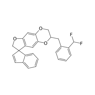 FC(F)c1ccccc1CC1COc2cc3c(cc2O1)C1(C=Cc2ccccc21)CO3